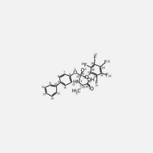 C[C@H](N[P@](=O)(Oc1ccc(-c2ccccc2)cc1)Oc1c(F)c(F)c(F)c(F)c1F)C(=O)O